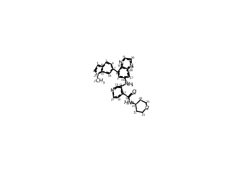 Cn1ccc2ccc(-c3cc(Nc4cnccc4C(=O)NC4CCOCC4)cc4nccnc34)cc21